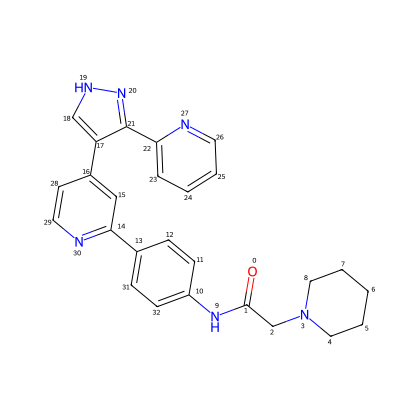 O=C(CN1CCCCC1)Nc1ccc(-c2cc(-c3c[nH]nc3-c3ccccn3)ccn2)cc1